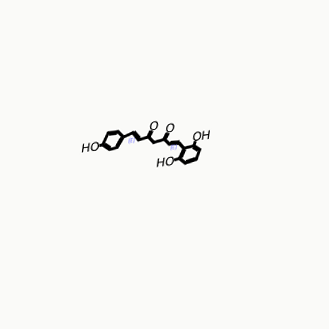 O=C(/C=C/c1ccc(O)cc1)CC(=O)/C=C/c1c(O)cccc1O